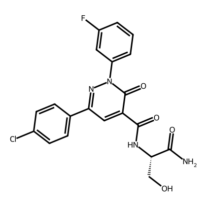 NC(=O)[C@H](CO)NC(=O)c1cc(-c2ccc(Cl)cc2)nn(-c2cccc(F)c2)c1=O